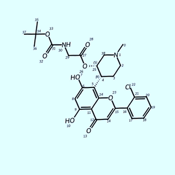 CN1CC[C@H](c2c(O)cc(O)c3c(=O)cc(-c4ccccc4Cl)oc23)[C@H](OC(=O)CNC(=O)OC(C)(C)C)C1